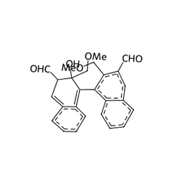 COCc1c(C=O)cc2ccccc2c1C1=c2ccccc2=CC(C=O)C1(O)COC